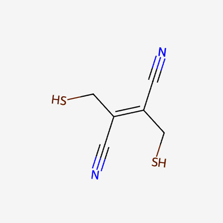 N#CC(CS)=C(C#N)CS